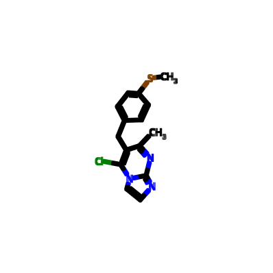 CSc1ccc(Cc2c(C)nc3nccn3c2Cl)cc1